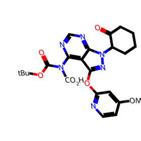 COc1ccnc(Oc2nn(C3CCCCC3=O)c3ncnc(N(C(=O)O)C(=O)OC(C)(C)C)c23)c1